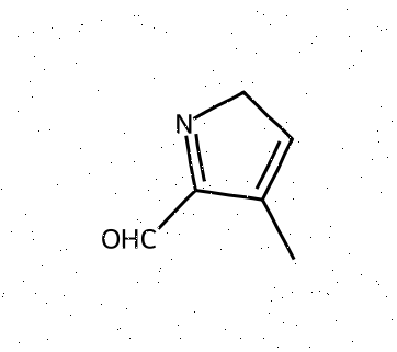 CC1=CCN=C1C=O